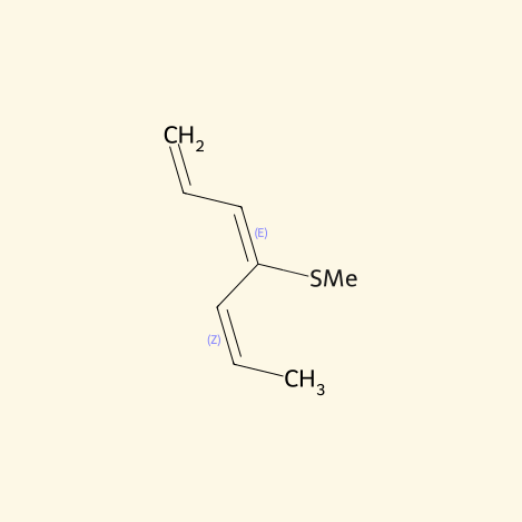 C=C/C=C(\C=C/C)SC